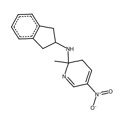 CC1(NC2Cc3ccccc3C2)CC=C([N+](=O)[O-])C=N1